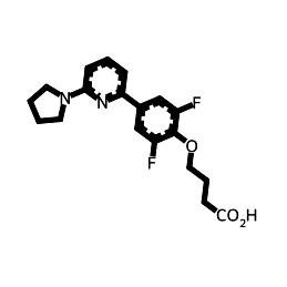 O=C(O)CCCOc1c(F)cc(-c2cccc(N3CCCC3)n2)cc1F